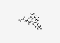 CC(=O)NC(=O)NC(c1ccc(C(F)(F)F)cc1)c1ncccc1C(F)(F)F